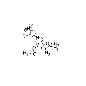 CC(=O)OC[C@H]1CN(c2ccc([N+](=O)[O-])c(C3CC3)c2)CCN1C(=O)OC(C)(C)C